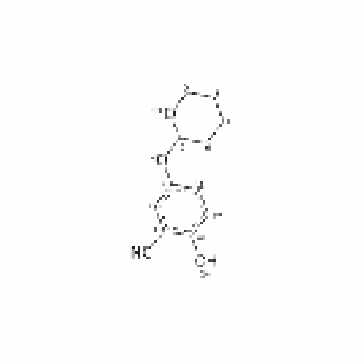 N#Cc1cc(OC2CCCCO2)ccc1O